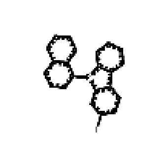 Ic1ccc2c3ccccc3p(-c3cccc4ccccc34)c2c1